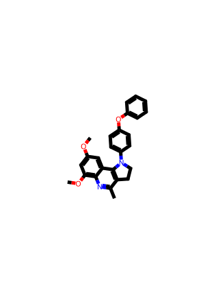 COc1cc(OC)c2nc(C)c3c(c2c1)N(c1ccc(Oc2ccccc2)cc1)CC3